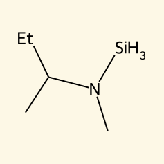 CCC(C)N(C)[SiH3]